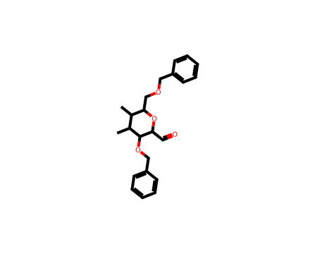 CC1C(COCc2ccccc2)OC(C=O)C(OCc2ccccc2)C1C